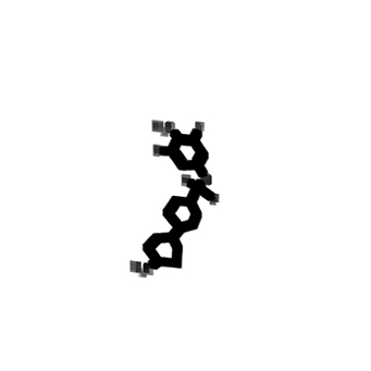 Cc1c(F)cc(OC(F)(F)C2CCC(C3CCC(C)CC3)CC2)cc1F